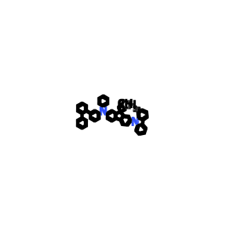 CCC1(CC)c2cc(N(c3ccccc3)c3cccc(-c4ccccc4-c4ccccc4)c3)ccc2-c2ccc(-n3c4ccccc4c4ccccc43)cc21